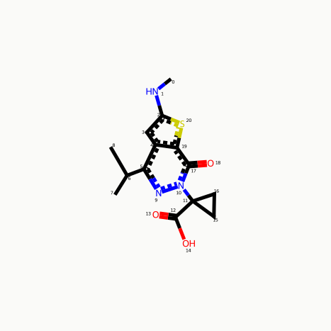 CNc1cc2c(C(C)C)nn(C3(C(=O)O)CC3)c(=O)c2s1